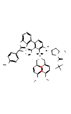 COc1ccc(CN(Cc2ccc(OC)cc2)S(=O)(=O)c2c(S(=O)(=O)[C@@H]3C[C@H](CO)N(C(=O)OC(C)(C)C)C3)ccc(-c3cccc4sc(N)nc34)c2-c2nnn(Cc3ccc(OC)cc3)n2)cc1